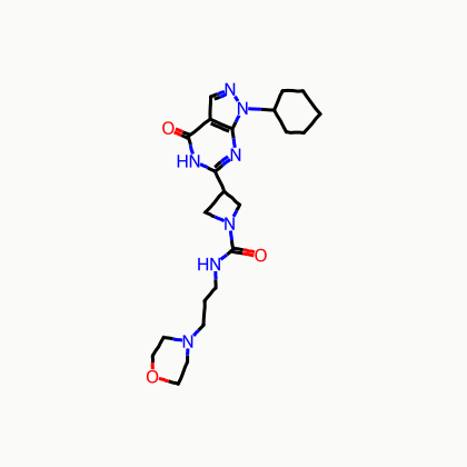 O=C(NCCCN1CCOCC1)N1CC(c2nc3c(cnn3C3CCCCC3)c(=O)[nH]2)C1